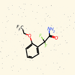 NC(=O)C(F)(F)c1ccccc1OCC(F)(F)F